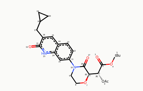 CC(=O)O[C@@H](C(=O)OC(C)(C)C)[C@H]1OCCN(c2ccc3cc(CC4CC4)c(=O)[nH]c3c2)C1=O